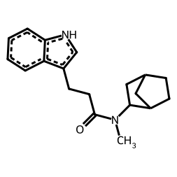 CN(C(=O)CCc1c[nH]c2ccccc12)C1CC2CCC1C2